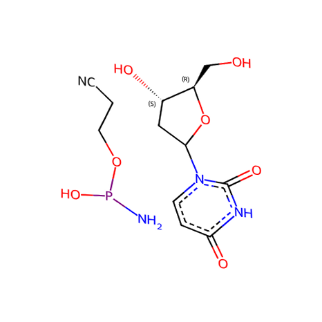 N#CCCOP(N)O.O=c1ccn(C2C[C@H](O)[C@@H](CO)O2)c(=O)[nH]1